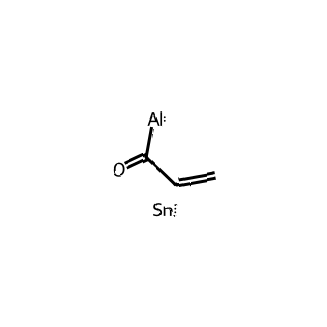 C=C[C](=O)[Al].[Sn]